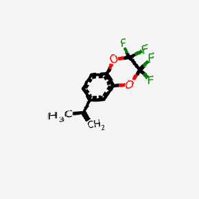 C=C(C)c1ccc2c(c1)OC(F)(F)C(F)(F)O2